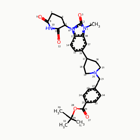 Cn1c(=O)n(C2CCC(=O)NC2=O)c2ccc(C3CCN(Cc4ccc(C(=O)OC(C)(C)C)cc4)CC3)cc21